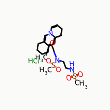 CC1C(N(CCNS(C)(=O)=O)S(C)(=O)=O)OC2=C3CCC=CN3C=C3CCCCC321.Cl